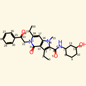 CCc1c(C(=O)NC2CCCC(O)C2)n(C)c2cc(CC)n(CC(=O)c3ccccc3)c(=O)c12